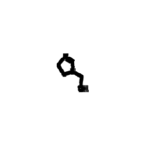 OCN1C=NCC1